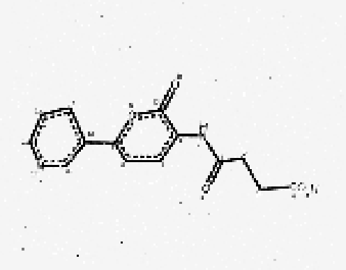 O=C(O)CCC(=O)Nc1ccc(-c2cccnc2)oc1=O